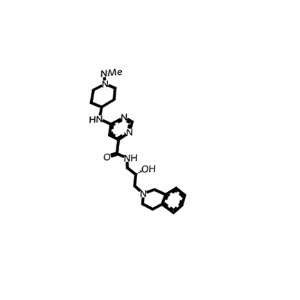 CNN1CCC(Nc2cc(C(=O)NC[C@H](O)CN3CCc4ccccc4C3)ncn2)CC1